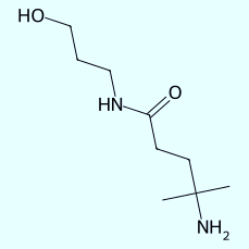 CC(C)(N)CCC(=O)NCCCO